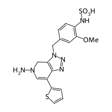 COc1cc(Cn2nnc3c2CN(N)C=C3c2cccs2)ccc1NS(=O)(=O)O